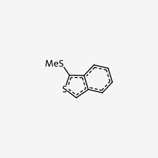 CSc1scc2ccccc12